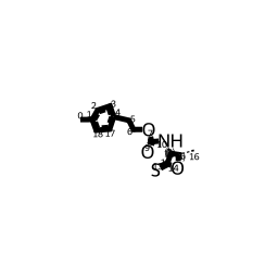 Cc1ccc(CCOC(=O)N[C@H]2C(=S)O[C@H]2C)cc1